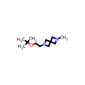 CN1CC2(C1)CN(CCOC(C)(C)C)C2